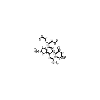 B/C=C/C1=C2C[C@H](NC)CN2C(/C(=C\CC)S/C=C\C)=N[C@H]1c1ccc(F)cc1Cl